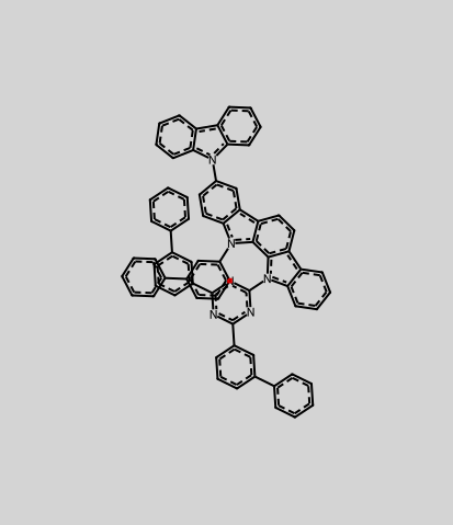 c1ccc(-c2cccc(-c3nc(-c4cccc(-c5ccccc5)c4)nc(-n4c5ccccc5c5ccc6c7cc(-n8c9ccccc9c9ccccc98)ccc7n(-c7cccc(-c8ccccc8)c7)c6c54)n3)c2)cc1